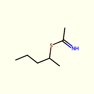 CCCC(C)SC(C)=N